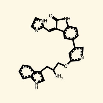 NC(COc1cncc(-c2ccc3c(c2)C(=Cc2ncc[nH]2)C(=O)N3)c1)Cc1c[nH]c2ccccc12